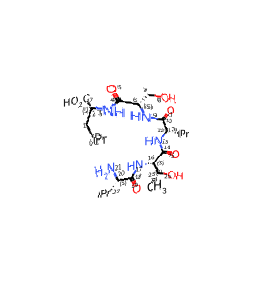 CC(C)C[C@H](NC(=O)[C@H](CO)NC(=O)[C@@H](NC(=O)[C@@H](NC(=O)[C@@H](N)C(C)C)[C@@H](C)O)C(C)C)C(=O)O